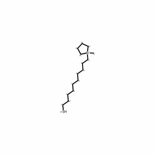 C[N+]1(CCCCCCCCCCS)CCCC1